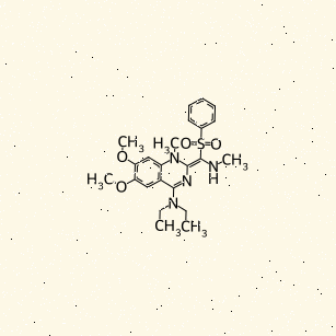 CCN(CC)C1=NC(=C(NC)S(=O)(=O)c2ccccc2)N(C)c2cc(OC)c(OC)cc21